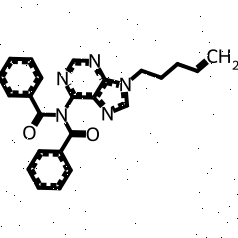 C=CCCCn1cnc2c(N(C(=O)c3ccccc3)C(=O)c3ccccc3)ncnc21